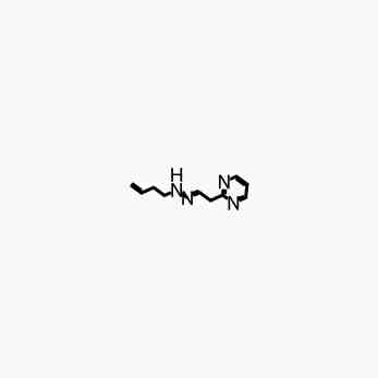 C=CCCN/N=C/Cc1ncccn1